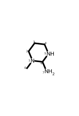 CN1CCCNC1N